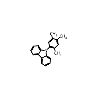 Cc1cc(C)c(-n2c3ccccc3c3ccccc32)cc1C